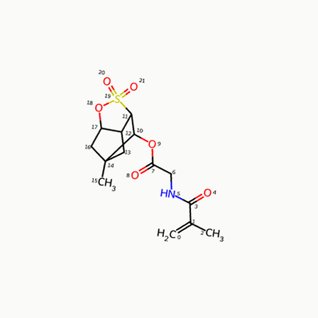 C=C(C)C(=O)NCC(=O)OC1C2C3CC1(C)CC3OS2(=O)=O